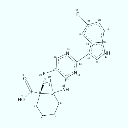 C[C@]1(C(=O)O)CCCC[C@]1(I)Nc1nc(-c2c[nH]c3ncc(F)cc23)ncc1F